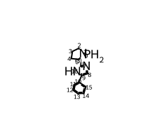 PN1CCC[C@H]1c1ncc(-c2ccccc2)[nH]1